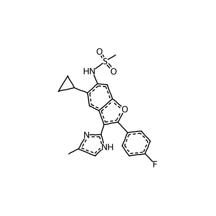 Cc1c[nH]c(-c2c(-c3ccc(F)cc3)oc3cc(NS(C)(=O)=O)c(C4CC4)cc23)n1